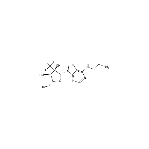 NCCNc1ncnc2c1ncn2[C@@H]1O[C@H](CO)[C@@H](O)[C@]1(O)C(F)(F)F